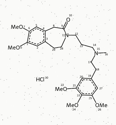 COc1cc2c(cc1OC)CC(=O)N(CCCN(C)CCc1cc(OC)c(OC)c(OC)c1)CC2.Cl